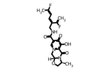 C=C(F)/C(=C\C=C(/C)F)CNC(=O)c1cn2c(c(O)c1=O)C(=O)N1[C@@H](C)CO[C@@H]1C2